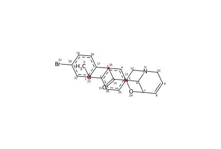 COc1ccc(C2C3C=CCN2CN(C(=O)Cc2ccc(Br)cc2)O3)cc1